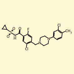 Cc1ccc(N2CCN(Cc3cc(F)c(C(=O)NS(=O)(=O)C4CC4)cc3Cl)CC2)cc1Cl